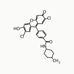 CC1CCC(NC(=O)c2ccc(-c3c4cc(Cl)c(=O)cc-4oc4cc(O)c(Cl)cc34)cc2)CC1